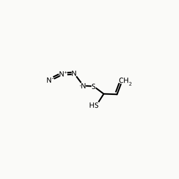 C=CC(S)S[N]N=[N+]=[N-]